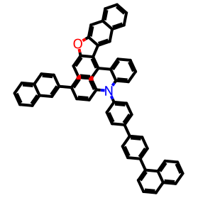 c1ccc(N(c2ccc(-c3ccc(-c4cccc5ccccc45)cc3)cc2)c2ccc(-c3ccc4ccccc4c3)cc2)c(-c2cccc3oc4cc5ccccc5cc4c23)c1